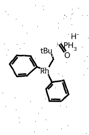 CC(C)(C)[CH2][Rh]([c]1ccccc1)[c]1ccccc1.P.[C]=O.[H-]